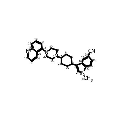 Cn1cc(C2CCC(N3CCN(c4cccc5ncccc45)CC3)CC2)c2cc(C#N)ccc21